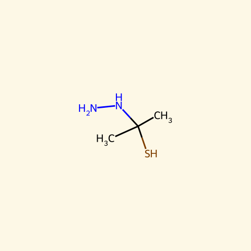 CC(C)(S)NN